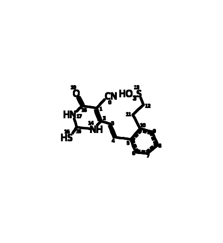 N#CC1=C(/C=C/c2ccccc2CCS(=O)(=O)O)NC(S)NC1=O